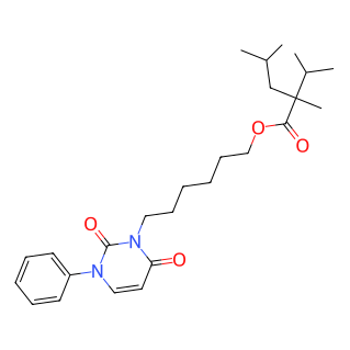 CC(C)CC(C)(C(=O)OCCCCCCn1c(=O)ccn(-c2ccccc2)c1=O)C(C)C